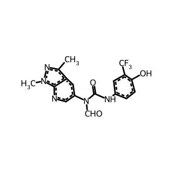 Cc1nn(C)c2ncc(N(C=O)C(=O)Nc3ccc(O)c(C(F)(F)F)c3)cc12